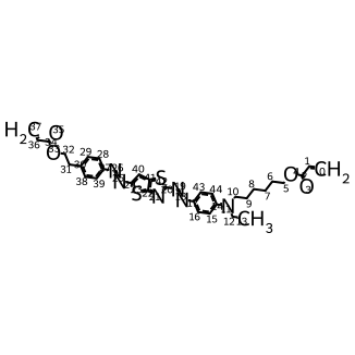 C=CC(=O)OCCCCCCN(CC)c1ccc(/N=N/c2nc3sc(/N=N/c4ccc(CCOC(=O)C=C)cc4)cc3s2)cc1